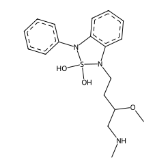 CNCC(CCN1c2ccccc2N(c2ccccc2)S1(O)O)OC